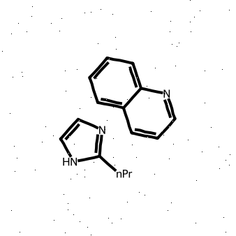 CCCc1ncc[nH]1.c1ccc2ncccc2c1